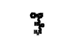 NCCC(=O)NCCc1cncn1-c1ccccc1